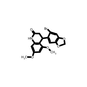 COc1cc2c(c(OC)c1)C(c1cc3c(cc1Br)OCO3)CC(=O)N2